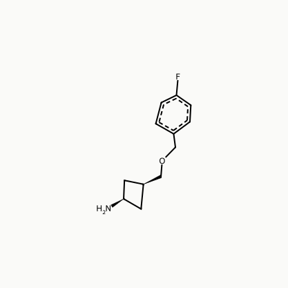 N[C@H]1C[C@@H](COCc2ccc(F)cc2)C1